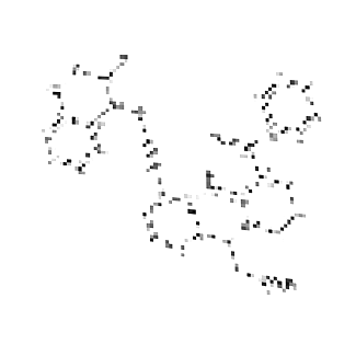 CCOC(=O)CCc1cccc(C#CCN2C(=O)COc3ccccc32)c1Nc1ccccc1C(=O)c1ccccc1